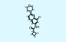 O=C(Nc1cc(F)c2nc(N3CCOCC3)ccc2c1)C1CCC1